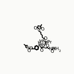 CC1CN(C(=O)OCc2ccc(NC(=O)[C@H](CCCNC(N)=O)NC(=O)[C@@H](NC(=O)CCCCCN3C(=O)CC(C)C3=O)C(C)C)cc2)C1